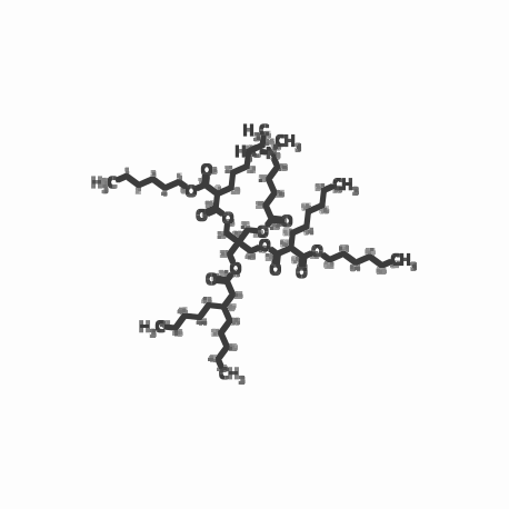 CCCCCCOC(=O)C(CCCCCC)C(=O)OCC(COC(=O)CCCCN(C)C)(COC(=O)CC(CCCCC)CCCCC)COC(=O)C(CCCCCC)C(=O)OCCCCCC